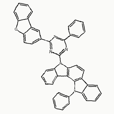 c1ccc(-c2nc(-c3ccc4oc5ccccc5c4c3)nc(-n3c4ccccc4c4c3ccc3c5ccccc5n(-c5ccccc5)c34)n2)cc1